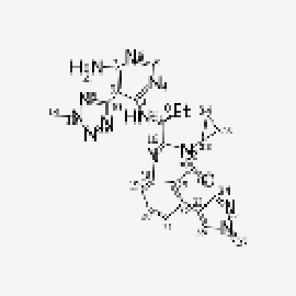 CC[C@H](Nc1ncnc(N)c1-c1nnn(C)n1)c1nc2cccc(-c3cnn(C)c3)c2c(=O)n1C1CC1